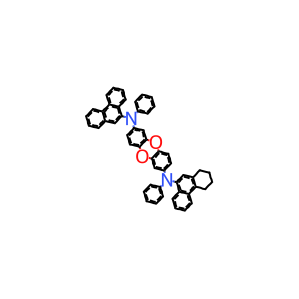 c1ccc(N(c2ccc3c(c2)Oc2ccc(N(c4ccccc4)c4cc5ccccc5c5ccccc45)cc2O3)c2cc3c(c4ccccc24)CCCC3)cc1